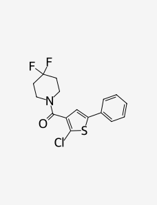 O=C(c1cc(-c2ccccc2)sc1Cl)N1CCC(F)(F)CC1